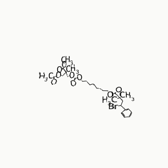 COC(=O)C(C)(COC(C)=O)COC(=O)OCCCCCCCCOC(=O)C(C)(C)CC(Br)c1ccccc1